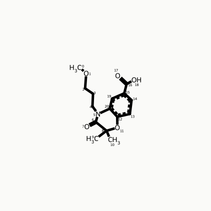 COCCCN1C(=O)C(C)(C)Oc2ccc(C(=O)O)cc21